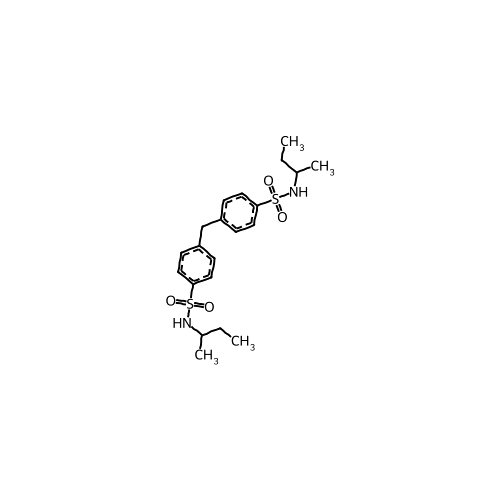 CCC(C)NS(=O)(=O)c1ccc(Cc2ccc(S(=O)(=O)NC(C)CC)cc2)cc1